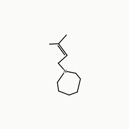 CC(C)=CCN1CCCCCC1